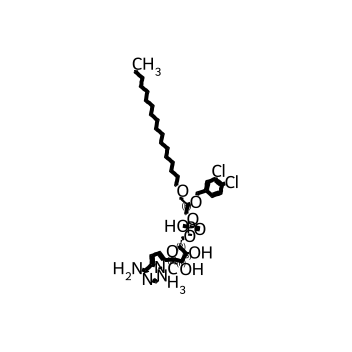 CCCCCCCCCCCCCCCCCCOC[C@H](COP(=O)(O)OC[C@H]1O[C@@](C)(c2ccc3c(N)ncnn23)[C@H](O)[C@@H]1O)OCc1ccc(Cl)c(Cl)c1